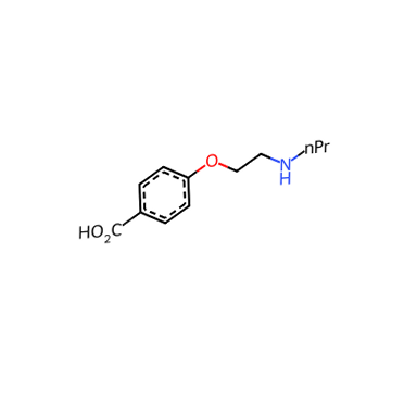 CCCNCCOc1ccc(C(=O)O)cc1